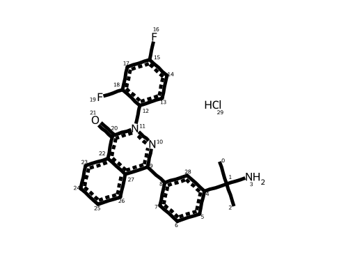 CC(C)(N)c1cccc(-c2nn(-c3ccc(F)cc3F)c(=O)c3ccccc23)c1.Cl